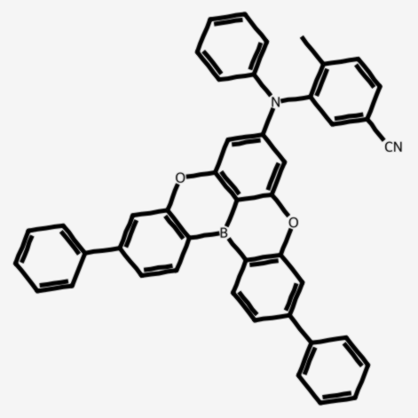 Cc1ccc(C#N)cc1N(c1ccccc1)c1cc2c3c(c1)Oc1cc(-c4ccccc4)ccc1B3c1ccc(-c3ccccc3)cc1O2